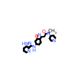 CN(C(=O)Cc1noc2cc(Nc3n[nH]c4cccnc34)ccc12)c1ccncc1